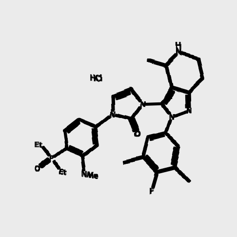 CCP(=O)(CC)c1ccc(-n2ccn(-c3c4c(nn3-c3cc(C)c(F)c(C)c3)CCNC4C)c2=O)cc1NC.Cl